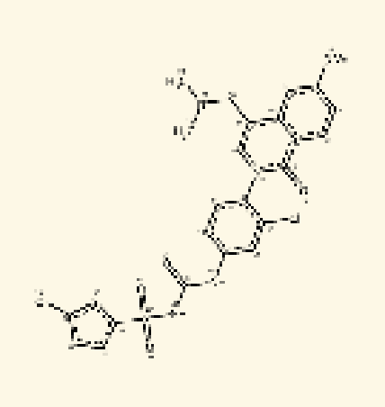 CNc1ccc2c(=O)n(-c3ccc(NC(=O)NS(=O)(=O)c4ccc(Cl)s4)cc3Cl)cc(CN(C)C)c2c1